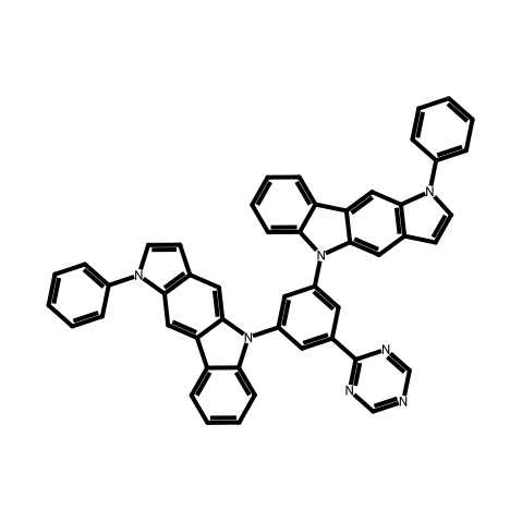 c1ccc(-n2ccc3cc4c(cc32)c2ccccc2n4-c2cc(-c3ncncn3)cc(-n3c4ccccc4c4cc5c(ccn5-c5ccccc5)cc43)c2)cc1